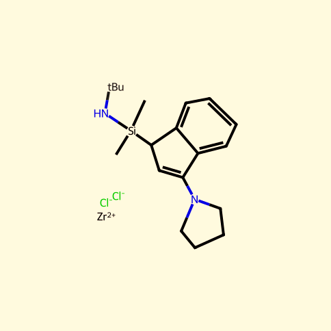 CC(C)(C)N[Si](C)(C)C1C=C(N2CCCC2)c2ccccc21.[Cl-].[Cl-].[Zr+2]